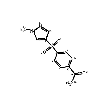 Cn1cc(S(=O)(=O)c2ccc(C(N)=O)nc2)cn1